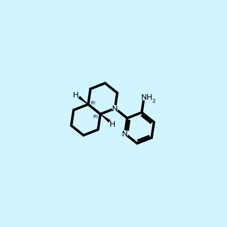 Nc1cccnc1N1CCC[C@H]2CCCC[C@H]21